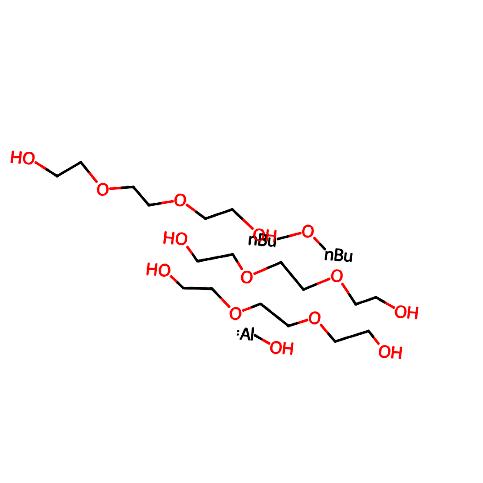 CCCCOCCCC.OCCOCCOCCO.OCCOCCOCCO.OCCOCCOCCO.[OH][Al]